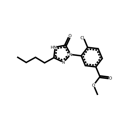 CCCCc1nn(-c2cc(C(=O)OC)ccc2Cl)c(=O)[nH]1